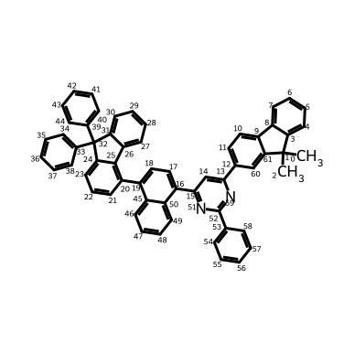 CC1(C)c2ccccc2-c2ccc(-c3cc(-c4ccc(-c5cccc6c5-c5ccccc5C6(c5ccccc5)c5ccccc5)c5ccccc45)nc(-c4ccccc4)n3)cc21